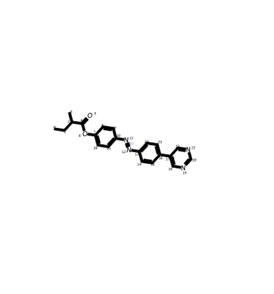 CCC(C)C(=O)Oc1ccc(/N=N/c2ccc(-c3cncnc3)cc2)cc1